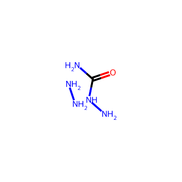 NN.NNC(N)=O